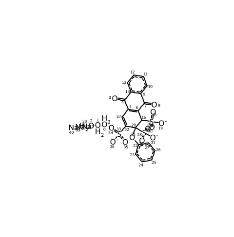 O.O.O.O=C1C2=C(C(=O)c3ccccc31)C(S(=O)(=O)[O-])C(Oc1ccccc1)(S(=O)(=O)[O-])C(S(=O)(=O)[O-])=C2.[Na+].[Na+].[Na+]